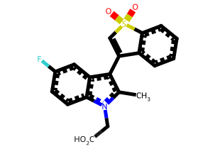 Cc1c(C2=CS(=O)(=O)c3ccccc32)c2cc(F)ccc2n1CC(=O)O